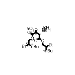 CCCCC(CC)COC(=O)CC(C(=O)OCC(CC)CCCC)S(=O)(=O)O.[KH].[NaH]